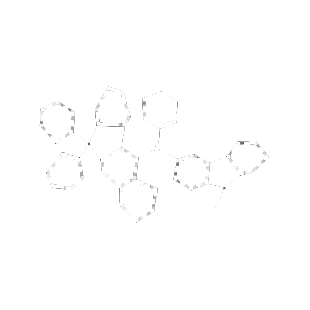 CC1(C)c2ccccc2-c2cc(N(C3=CCCC=C3)c3c4c(cc5ccccc35)C(c3ccccc3)(c3ccccc3)c3ccccc3-4)ccc21